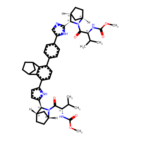 COC(=O)N[C@H](C(=O)N1[C@@H]2CC[C@@H](C2)[C@H]1c1ccc(-c2ccc(-c3ccc(-c4cnc([C@@H]5[C@H]6CC[C@H](C6)N5C(=O)[C@@H](NC(=O)OC)C(C)C)[nH]4)cc3)c3c2C2CCC3C2)[nH]1)C(C)C